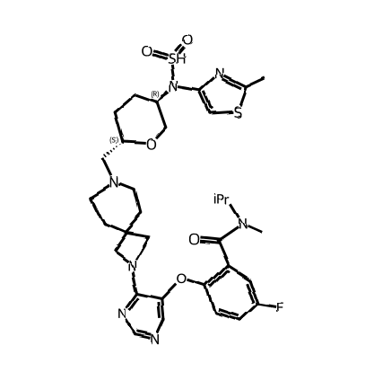 Cc1nc(N([C@@H]2CC[C@@H](CN3CCC4(CC3)CN(c3ncncc3Oc3ccc(F)cc3C(=O)N(C)C(C)C)C4)OC2)[SH](=O)=O)cs1